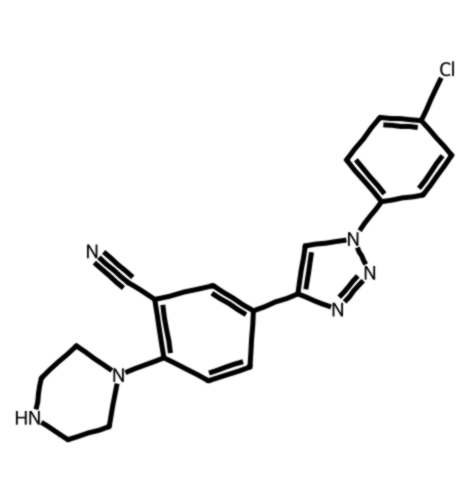 N#Cc1cc(-c2cn(-c3ccc(Cl)cc3)nn2)ccc1N1CCNCC1